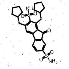 NS(=O)(=O)c1ccc2c(c1)C(=O)c1c-2cc(CC2CCCC2)c(S(N)(=O)=O)c1CC1CCCC1